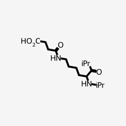 CC(C)NC(CCCCNC(=O)CCC(=O)O)C(=O)C(C)C